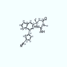 CN1C(=N)N[C@](C)(c2cc(-c3ccc(C#N)s3)c3sccc3c2)CC1=O